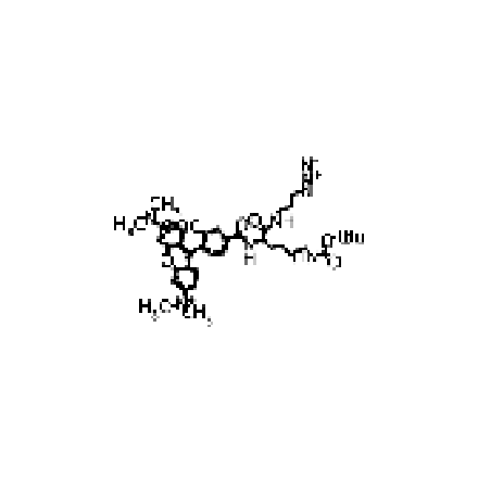 CN(C)c1ccc2c(-c3ccc(C(=O)NC(CCCCNC(=O)OC(C)(C)C)C(=O)NCCCN=[N+]=[N-])cc3C(=O)[O-])c3ccc(=[N+](C)C)cc-3oc2c1